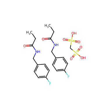 CCC(=O)NCc1ccc(F)cc1.CCC(=O)NCc1ccc(F)cc1.O=S(=O)(O)CS(=O)(=O)O